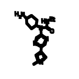 CCNC(=O)N(c1cnc(-c2cnn(C)c2)cn1)C1CCC(N)CC1